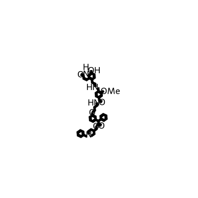 COc1cc(C(=O)NCCCOc2cccc(C(C(=O)OCC3CCN(Cc4ccccc4)CC3)c3ccccc3)c2)ccc1CNCCc1ccc(O)c2[nH]c(=O)ccc12